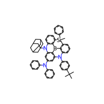 CC(C)(C)c1ccc(N2c3cc(N(c4ccccc4)c4ccccc4)cc4c3B3c5c2cccc5[Si](C)(c2ccccc2)c2cccc(c23)N4C23CC4CC(CC(C4)C2)C3)cc1